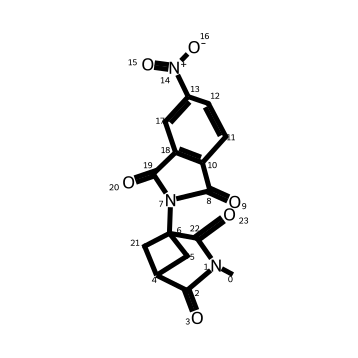 CN1C(=O)C2CC(N3C(=O)c4ccc([N+](=O)[O-])cc4C3=O)(C2)C1=O